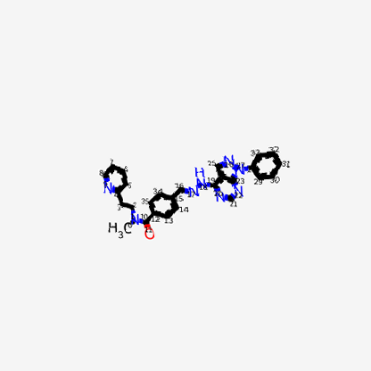 CN(CCc1ccccn1)C(=O)c1ccc(C=NNc2ncnc3c2cnn3-c2ccccc2)cc1